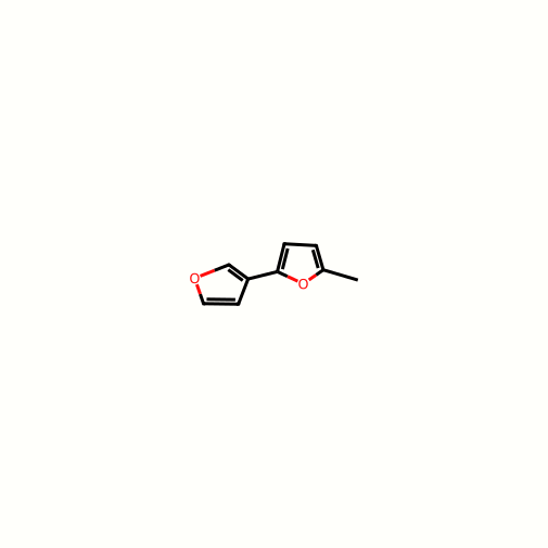 Cc1ccc(-c2ccoc2)o1